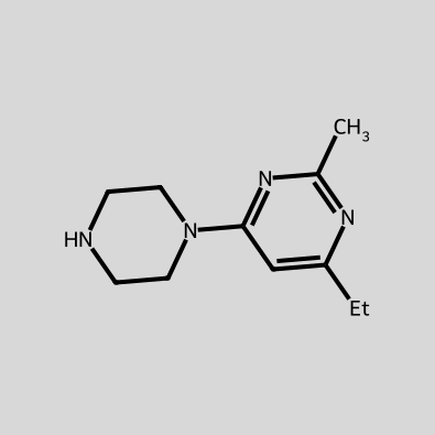 CCc1cc(N2CCNCC2)nc(C)n1